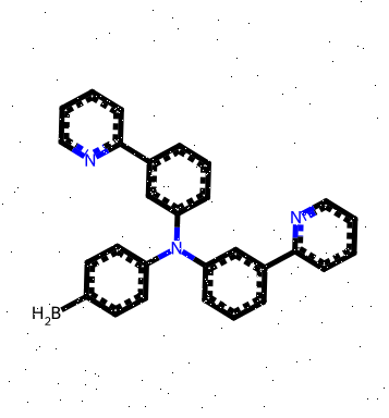 Bc1ccc(N(c2cccc(-c3ccccn3)c2)c2cccc(-c3ccccn3)c2)cc1